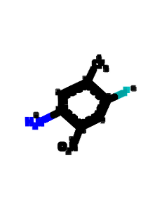 Nc1cc(C(F)(F)F)c(F)cc1[N+](=O)[O-]